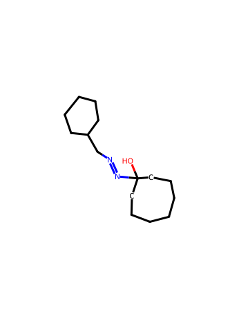 OC1(N=NCC2CCCCC2)CCCCCCC1